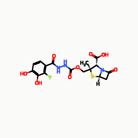 C[C@@]1(COC(=O)NNC(=O)c2ccc(O)c(O)c2F)S[C@@H]2CC(=O)N2[C@H]1C(=O)O